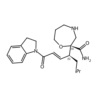 CC(C)C[C@@H](C=CC(=O)N1CCc2ccccc21)[C@@]1(C(N)=O)CNCCCO1